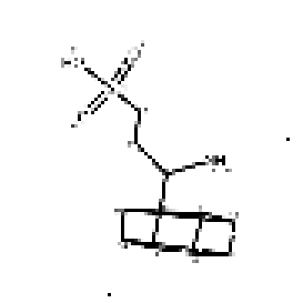 NC(CCS(=O)(=O)O)C12C3C4C5C3C1C5C42